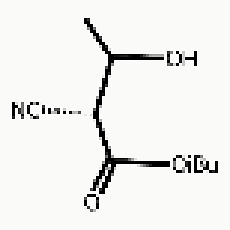 CC(C)COC(=O)[C@H](C#N)C(C)O